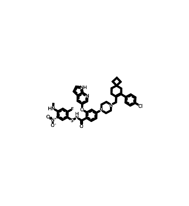 CNc1cc(F)c(SNC(=O)c2ccc(N3CCN(CC4=C(c5ccc(Cl)cc5)CC5(CCC5)CC4)CC3)cc2Oc2cnc3[nH]ccc3c2)cc1[N+](=O)[O-]